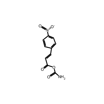 NC(=O)OC(=O)C=Cc1ccc([N+](=O)[O-])cc1